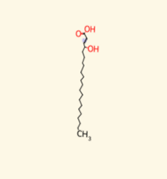 CCCCCCCCCCCCCCCCCCC(O)/C=C/C(=O)O